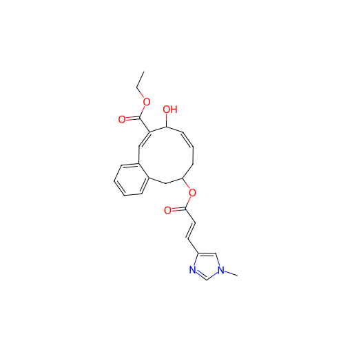 CCOC(=O)/C1=C/c2ccccc2CC(OC(=O)/C=C/c2cn(C)cn2)C/C=C\C1O